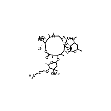 CC[C@H]1OC(=O)[C@H](C)[C@@H](O[C@H]2C[C@@](C)(OC)[C@@H](OCCCN)[C@H](C)O2)[C@H](C)[C@@H](O[C@@H]2O[C@H](C)C[C@H](N(C)C)[C@H]2O[C@@H](C)O)[C@](C)(O)C[C@@H](C)CN(C)[C@H](C)[C@@H](O)[C@]1(C)O